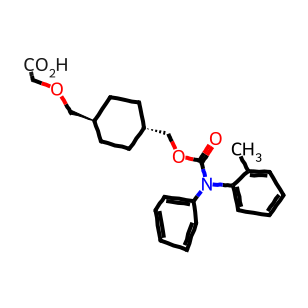 Cc1ccccc1N(C(=O)OC[C@H]1CC[C@H](COCC(=O)O)CC1)c1ccccc1